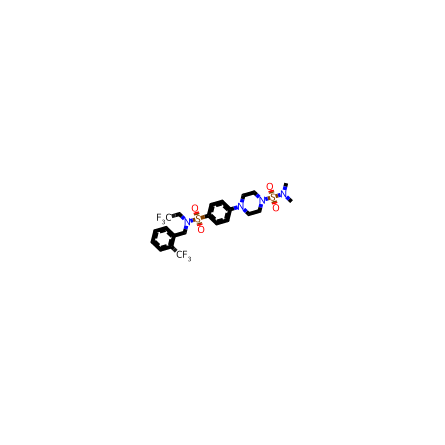 CN(C)S(=O)(=O)N1CCN(c2ccc(S(=O)(=O)N(Cc3ccccc3C(F)(F)F)CC(F)(F)F)cc2)CC1